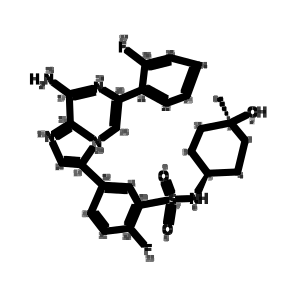 C[C@]1(O)CC[C@@H](NS(=O)(=O)c2cc(-c3cnc4c(N)nc(-c5ccccc5F)cn34)ccc2F)CC1